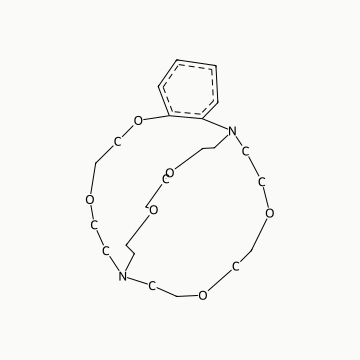 c1ccc2c(c1)OCCOCCN1CCOCCOCCN2CCOCCOCC1